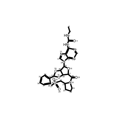 CCNC(=O)Nc1ncnc2c1ncn2C1OC(C(=O)N2CCCC2CS(C)(=O)=O)C2OC(c3ccccc3)OC21